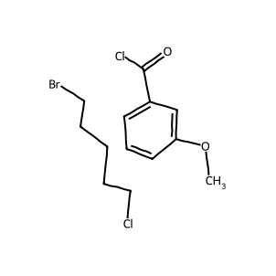 COc1cccc(C(=O)Cl)c1.ClCCCCCBr